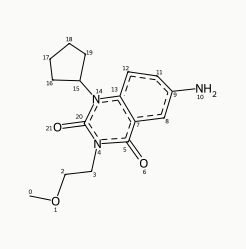 COCCn1c(=O)c2cc(N)ccc2n(C2CCCC2)c1=O